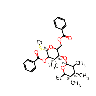 CCS[C@@H]1OC(COC(=O)c2ccccc2)[C@@H](O[C@@H]2OC(CC)[C@@H](C)[C@H](C)C2C)[C@H](C)C1OC(=O)c1ccccc1